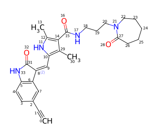 C#Cc1ccc2c(c1)/C(=C/c1[nH]c(C)c(C(=O)NCCCN3CCCCCC3=O)c1C)C(=O)N2